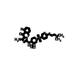 CN(C)CCSc1ccc(S(=O)(=O)N2CCC(Nc3nc(N)c(C(=O)c4c(F)cccc4F)s3)CC2)cn1.Cl.Cl